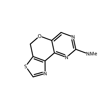 CNc1ncc2c(n1)-c1ncsc1CO2